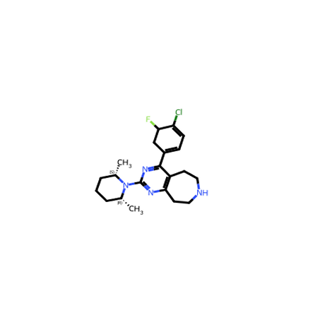 C[C@@H]1CCC[C@H](C)N1c1nc2c(c(C3=CC=C(Cl)C(F)C3)n1)CCNCC2